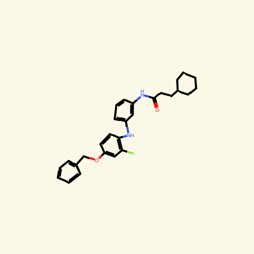 O=C(CCC1CCCCC1)Nc1cccc(Nc2ccc(OCc3ccccc3)cc2F)c1